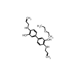 C=CCNc1ccc(-c2ccc(NCC=C)c(O)c2)cc1O.CCOCC